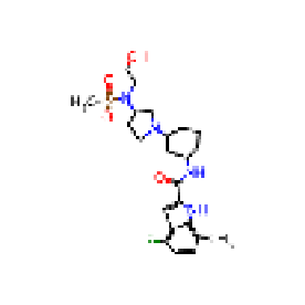 Cc1ccc(F)c2cc(C(=O)N[C@@H]3CCC[C@H](N4CC[C@@H](N(CCO)S(C)(=O)=O)C4)C3)[nH]c12